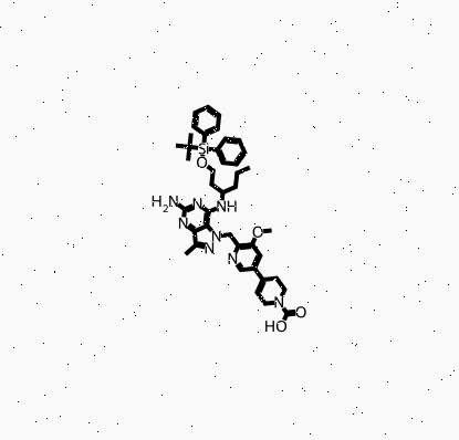 CCCC(CCO[Si](c1ccccc1)(c1ccccc1)C(C)(C)C)Nc1nc(N)nc2c(C)nn(Cc3ncc(C4=CCN(C(=O)O)CC4)cc3OC)c12